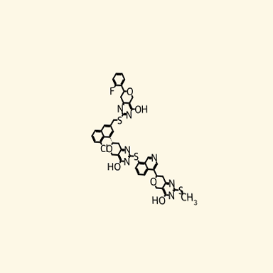 CSc1nc(O)c2c(n1)CC(c1cncc3c(Sc4nc(O)c5c(n4)C[C@@H](c4cc(CSc6nc(O)c7c(n6)CC(c6ccccc6F)OC7)cc6cccc(Cl)c46)OC5)cccc13)OC2